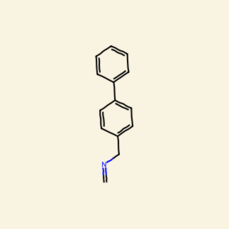 C=NCc1ccc(-c2ccccc2)cc1